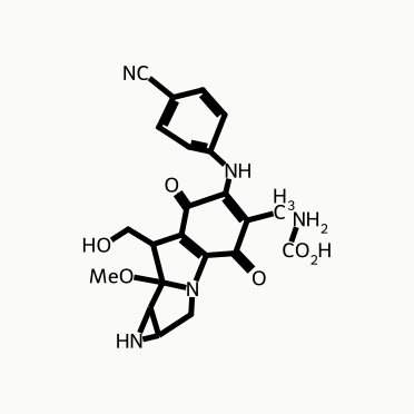 COC12C(CO)C3=C(C(=O)C(C)=C(Nc4ccc(C#N)cc4)C3=O)N1CC1NC12.NC(=O)O